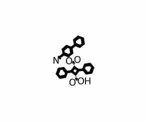 N#Cc1ccc(-c2ccccc2)cc1OC(=O)[C@H]1C(c2ccccc2)[C@@H](C(=O)O)C1c1ccccc1